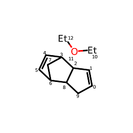 C1=CC2C3C=CC(C3)C2C1.CCOCC